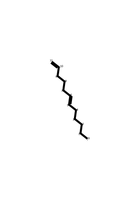 [CH2]CCCCC=CCCCC=C